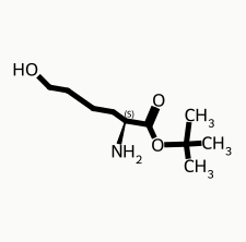 CC(C)(C)OC(=O)[C@@H](N)CCCCO